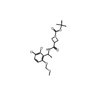 COCOc1ccc(Cl)c(Cl)c1C(C)NC(=O)C1CN(C(=O)OC(C)(C)C)C1